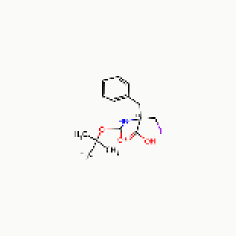 CC(C)(C)OC(=O)N[C@](CI)(Cc1ccccc1)C(=O)O